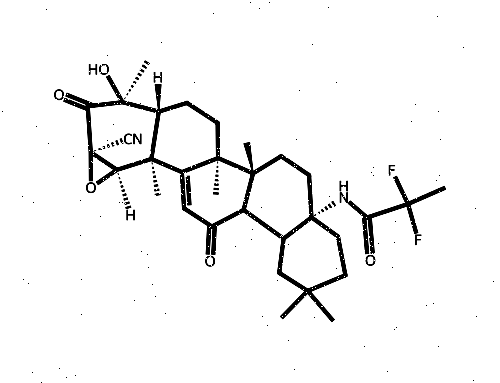 CC1(C)CC[C@]2(NC(=O)C(C)(F)F)CC[C@]3(C)C(C(=O)C=C4[C@@]5(C)[C@H]6O[C@@]6(C#N)C(=O)[C@@](C)(O)[C@@H]5CC[C@]43C)C2C1